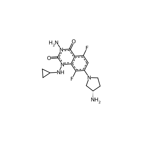 N[C@H]1CCN(c2cc(F)c3c(=O)n(N)c(=O)n(NC4CC4)c3c2F)C1